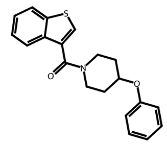 O=C(c1csc2ccccc12)N1CCC(Oc2ccccc2)CC1